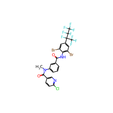 CN(C(=O)c1ccc(Cl)nc1)c1cccc(C(=O)Nc2c(Br)cc(C(F)(C(F)(F)F)C(F)(F)C(F)(F)F)cc2Br)c1